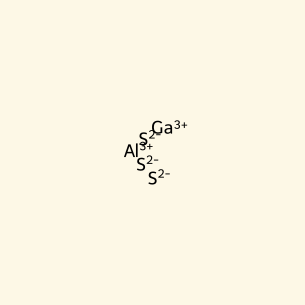 [Al+3].[Ga+3].[S-2].[S-2].[S-2]